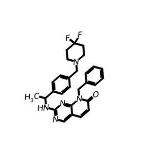 CC(Nc1ncc2ccc(=O)n(Cc3ccccc3)c2n1)c1ccc(CN2CCC(F)(F)CC2)cc1